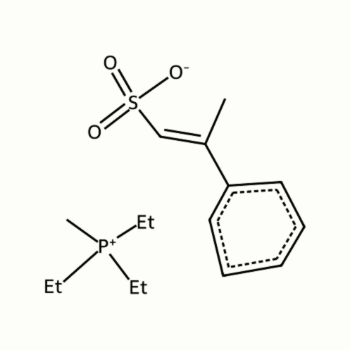 CC(=CS(=O)(=O)[O-])c1ccccc1.CC[P+](C)(CC)CC